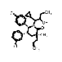 C=CC[C@@]1(C)C[C@H](c2cccc(Cl)c2)[C@@H](c2ccc(Cl)cc2)N(C(C(O)CC)C2CC2)C1=O